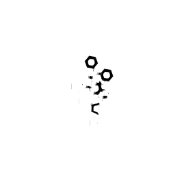 Nc1nc2c(ncn2[C@@H]2O[C@H](CO)C[C@H]2O)c(=O)n1C(=O)N(c1ccccc1)c1ccccc1